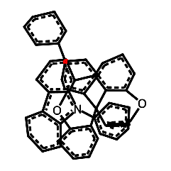 c1ccc(-c2ccc3c(c2)Oc2ccccc2C32c3ccccc3Oc3cccc(-c4cccc5c6ccccc6n(-c6ccccc6)c45)c32)cc1